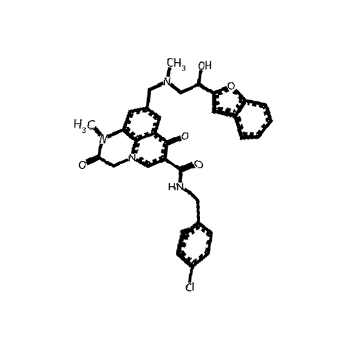 CN(Cc1cc2c3c(c1)c(=O)c(C(=O)NCc1ccc(Cl)cc1)cn3CC(=O)N2C)CC(O)c1cc2ccccc2o1